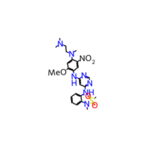 COc1cc(N(C)CCN(C)C)c([N+](=O)[O-])cc1Nc1cc(Nc2ccccc2N(C)S(C)(=O)=O)ncn1